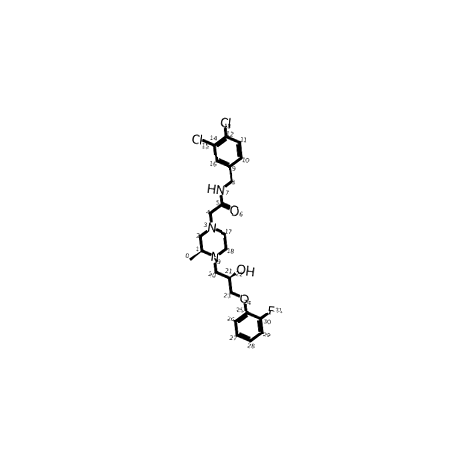 C[C@H]1CN(CC(=O)NCc2ccc(Cl)c(Cl)c2)CCN1C[C@@H](O)COc1ccccc1F